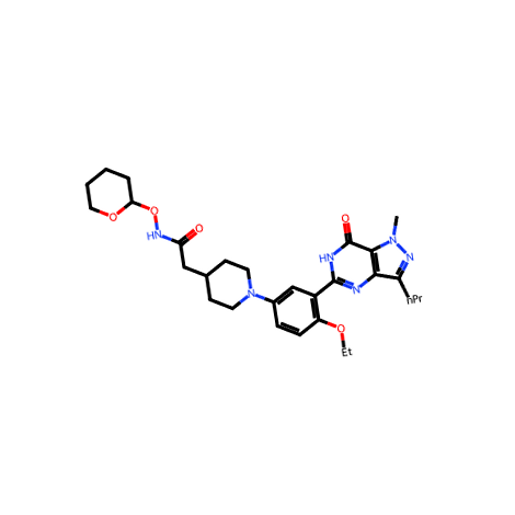 CCCc1nn(C)c2c(=O)[nH]c(-c3cc(N4CCC(CC(=O)NOC5CCCCO5)CC4)ccc3OCC)nc12